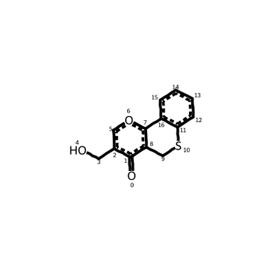 O=c1c(CO)coc2c1CSc1ccccc1-2